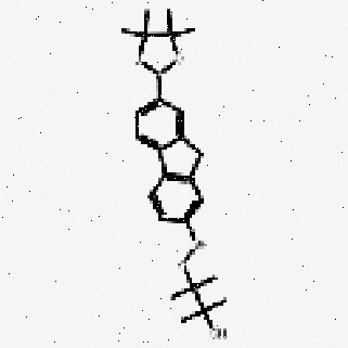 CC(C)(O)C(C)(C)OBc1ccc2c(c1)Cc1cc(B3OC(C)(C)C(C)(C)O3)ccc1-2